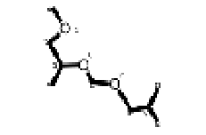 COCC(C)OCOCC(C)C